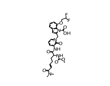 COC(=O)NC(CCC=CC(=O)N(C)C)C(=O)Nc1cccn(Cc2cc3cccc(OCC(F)F)c3n2C(=O)O)c1=O